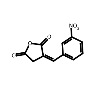 O=C1CC(=Cc2cccc([N+](=O)[O-])c2)C(=O)O1